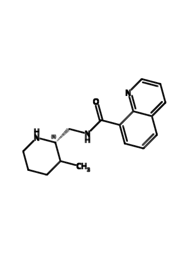 CC1CCCN[C@@H]1CNC(=O)c1cccc2cccnc12